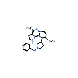 COc1ccc2nc(C)c3c(c2c1C1CCN(Cc2ccccc2)C1)NCC3